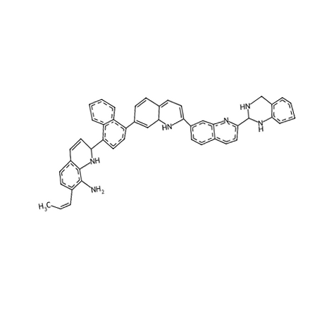 C/C=C\c1ccc2c(c1N)NC(c1ccc(C3=CC4NC(c5ccc6ccc(C7NCc8ccccc8N7)nc6c5)=CC=C4C=C3)c3ccccc13)C=C2